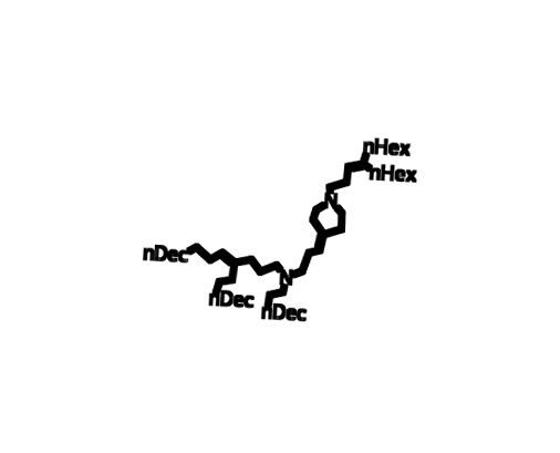 CCCCCCCCCCCC/C=C(\CCCCCCCCCCCC)CCCN(CCC=C1CCN(CCC=C(CCCCCC)CCCCCC)CC1)CCCCCCCCCCCC